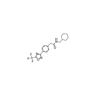 O=C(Cc1ccc(-c2noc(C(F)(F)F)n2)cc1)NCC1CCCCC1